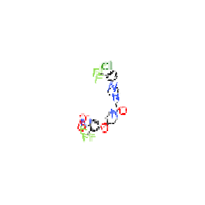 O=C(CCN1CCN(c2ccc(Cl)c(C(F)(F)F)c2)CC1)N1CCC(Oc2ccc([N+](=O)[O-])c(C(F)(F)F)c2)CC1